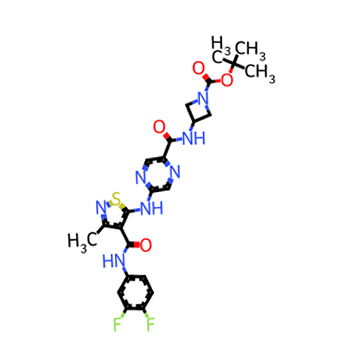 Cc1nsc(Nc2cnc(C(=O)NC3CN(C(=O)OC(C)(C)C)C3)cn2)c1C(=O)Nc1ccc(F)c(F)c1